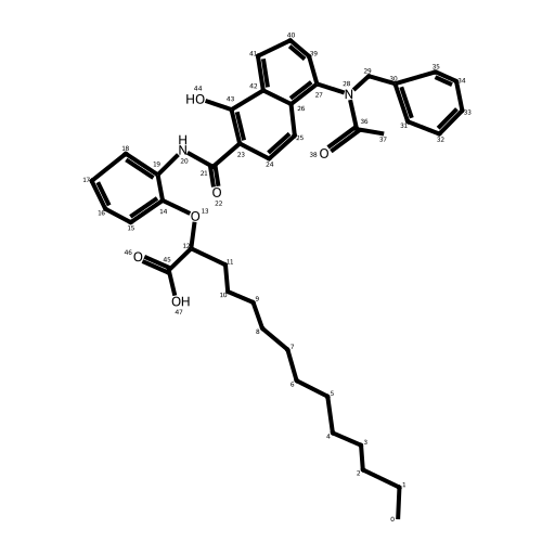 CCCCCCCCCCCCC(Oc1ccccc1NC(=O)c1ccc2c(N(Cc3ccccc3)C(C)=O)cccc2c1O)C(=O)O